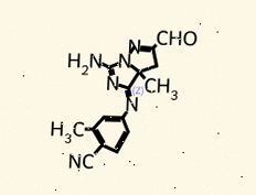 Cc1cc(/N=C2\N=C(N)N3N=C(C=O)CC23C)ccc1C#N